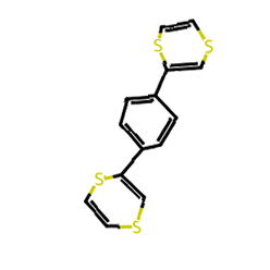 C1=CSC(c2ccc(C3=CSC=CS3)cc2)=CS1